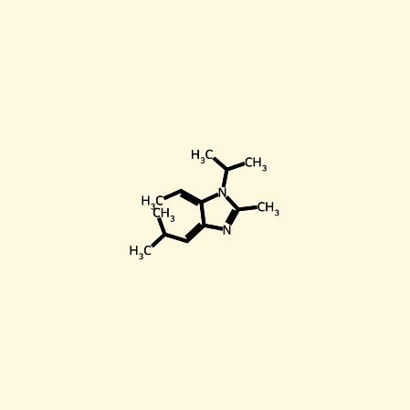 C/C=c1\c(=C/C(C)C)nc(C)n1C(C)C